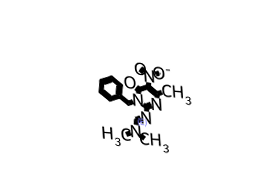 Cc1nc(/N=C/N(C)C)n(Cc2ccccc2)c(=O)c1[N+](=O)[O-]